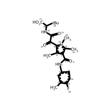 Cc1cc(NC(=O)c2c(C)c(C(=O)C(=O)NC(C(=O)O)C(C)(C)C)n(C)c2C)ccc1F